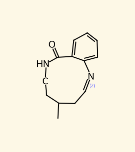 CC1C/C=N\c2ccccc2C(=O)NCC1